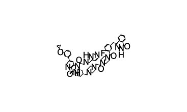 O=C(CNCc1ccncn1)Nc1cc(-c2cccc(OC3CC3)c2)cnc1C(=O)N1CCC(CN2CCN(CC(=O)N3CCN(C(=O)c4cc(Cc5n[nH]c(=O)c6ccccc56)ccc4F)CC3)CC2)CC1